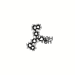 OB(O)c1ccc(N(c2ccc(-c3cccc4ccccc34)cc2)c2ccc(-c3cccc4ccccc34)cc2)cc1